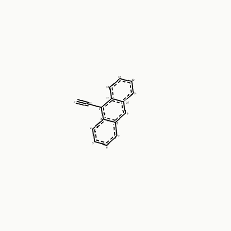 C#Cc1c2[c]cccc2cc2ccccc12